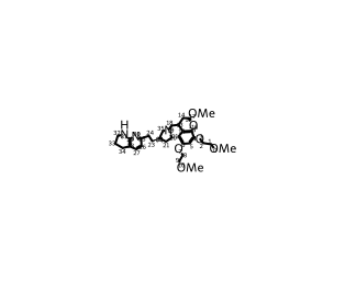 COCCOc1cc(OCCOC)cc(C(CC(=O)OC)CN2CC[C@@H](CCc3ccc4c(n3)NCCC4)C2)c1